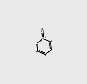 O=S1C=CC=CO1